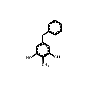 Cc1c(O)cc(Cc2ccccc2)cc1O